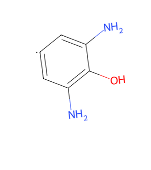 Nc1c[c]cc(N)c1O